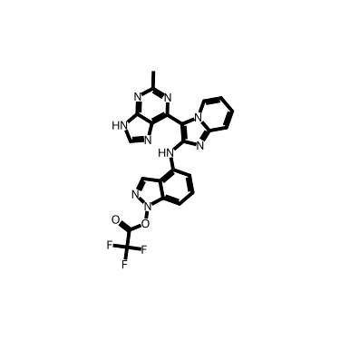 Cc1nc(-c2c(Nc3cccc4c3cnn4OC(=O)C(F)(F)F)nc3ccccn23)c2nc[nH]c2n1